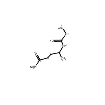 CCCCOC(=O)NC(C)CCC(=O)NC